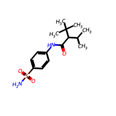 CC(C)C(C(=O)Nc1ccc(S(N)(=O)=O)cc1)C(C)(C)C